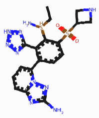 CC[SH](N)c1c(S(=O)(=O)C2CNC2)ccc(-c2cccc3nc(N)nn23)c1-c1nn[nH]n1